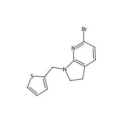 Brc1ccc2c(n1)N(Cc1cccs1)CC2